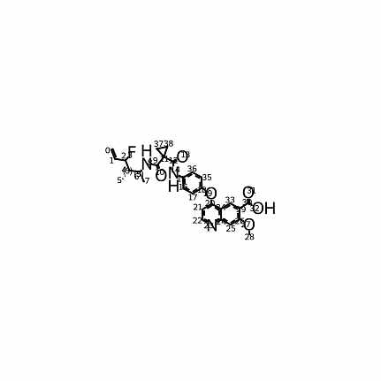 C=CC(F)[C@@H](C)[C@H](C)NC(=O)C1(C(=O)Nc2ccc(Oc3ccnc4cc(OC)c(C(=O)O)cc34)cc2)CC1